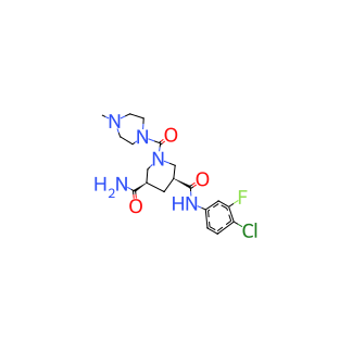 CN1CCN(C(=O)N2C[C@H](C(N)=O)C[C@H](C(=O)Nc3ccc(Cl)c(F)c3)C2)CC1